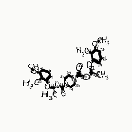 COc1cccc(O[C@@H](C)OC(=O)N2CCN(C(=O)O[C@H](C)Oc3cccc(OC)c3C)CC2)c1C